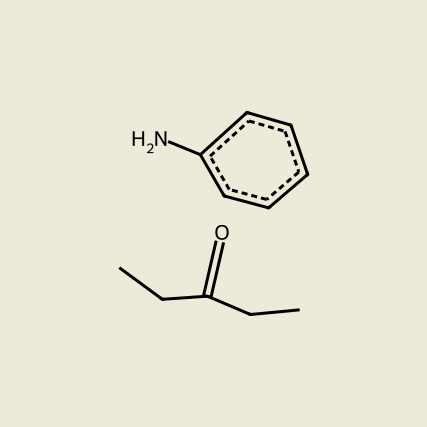 CCC(=O)CC.Nc1ccccc1